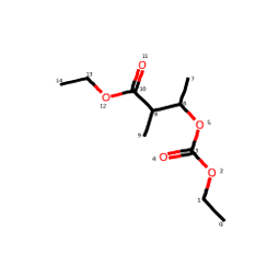 CCOC(=O)OC(C)C(C)C(=O)OCC